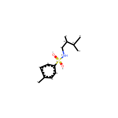 Cc1ccc(S(=O)(=O)NCC(C)C(C)C)cc1